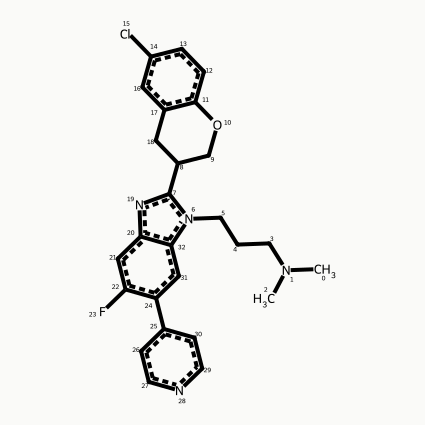 CN(C)CCCn1c(C2COc3ccc(Cl)cc3C2)nc2cc(F)c(-c3ccncc3)cc21